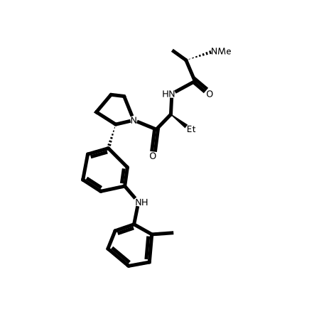 CC[C@H](NC(=O)[C@H](C)NC)C(=O)N1CCC[C@H]1c1cccc(Nc2ccccc2C)c1